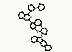 c1ccc(-c2cccc(-c3nc(-c4ccc5c6c(cccc46)-c4cccc(-n6c7ccccc7c7cc8ccccc8cc76)c4S5)nc4ccccc34)c2)cc1